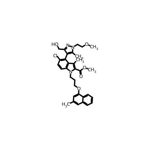 COCCn1nc(CO)c(-c2c(Cl)ccc3c2c(C)c(C(=O)OC)n3CCCOc2cc(C)cc3ccccc23)c1C